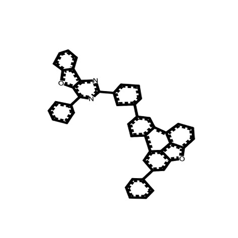 c1ccc(-c2cc3oc4cccc5c6cc(-c7cccc(-c8nc(-c9ccccc9)c9oc%10ccccc%10c9n8)c7)ccc6c(c2)c3c45)cc1